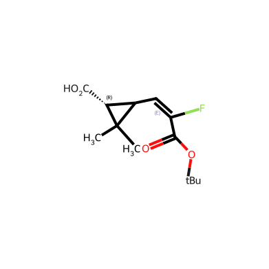 CC(C)(C)OC(=O)/C(F)=C\C1[C@@H](C(=O)O)C1(C)C